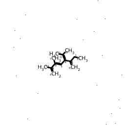 C=C(CC)C(/C=C(\C)C(=C)C)=C(C)C